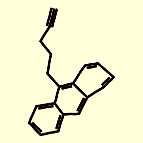 [C]#CCCCc1c2ccccc2cc2ccccc12